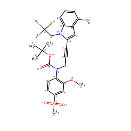 COc1cc(S(C)(=O)=O)ccc1N(CC#Cc1cc2c(Br)cccc2n1CC(F)(F)F)C(=O)OC(C)(C)C